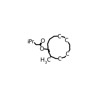 CC(C)CC(=O)OC1=CC(C)CCCCCCCCCCCC1